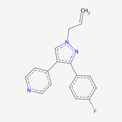 C=CCn1cc(-c2ccncc2)c(-c2ccc(F)cc2)n1